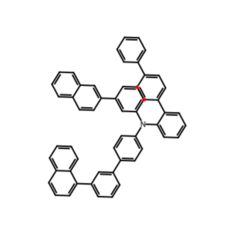 c1ccc(-c2ccc(-c3ccccc3N(c3ccc(-c4cccc(-c5cccc6ccccc56)c4)cc3)c3cccc(-c4ccc5ccccc5c4)c3)cc2)cc1